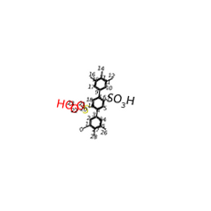 Cc1cc(-c2cc(S(=O)(=O)O)c(-c3cc(C)c(C)c(C)c3)cc2SOOO)cc(C)c1C